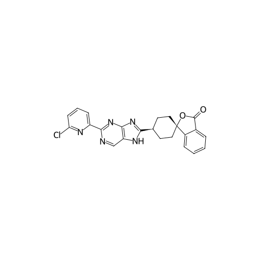 O=C1O[C@]2(CC[C@H](c3nc4nc(-c5cccc(Cl)n5)ncc4[nH]3)CC2)c2ccccc21